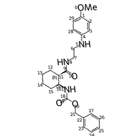 COc1ccc(NCCNC(=O)[C@@H]2CCCC[C@@H]2NC(=O)OCc2ccccc2)cc1